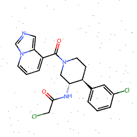 O=C(CCl)N[C@@H]1CN(C(=O)c2cccn3cncc23)CC[C@H]1c1cccc(Cl)c1